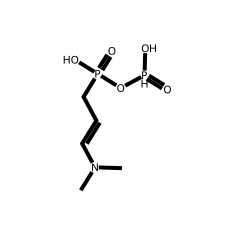 CN(C)C=CCP(=O)(O)O[PH](=O)O